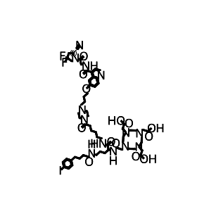 N#C[C@H]1CC(F)(F)CN1C(=O)CNC(=O)c1ccnc2ccc(OCCCCN3CCN(C(=O)CCCCCNC(=O)C(CCCNC(=O)CCCc4ccc(I)cc4)NC(=O)CN4CCN(CC(=O)O)CCN(CC(=O)O)CCN(CC(=O)O)CC4)CC3)cc12